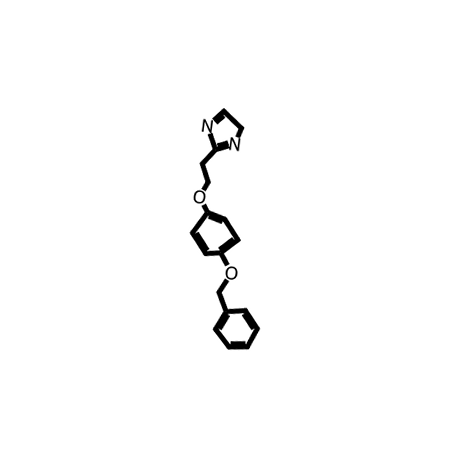 C1=NC(CCOc2ccc(OCc3ccccc3)cc2)=NC1